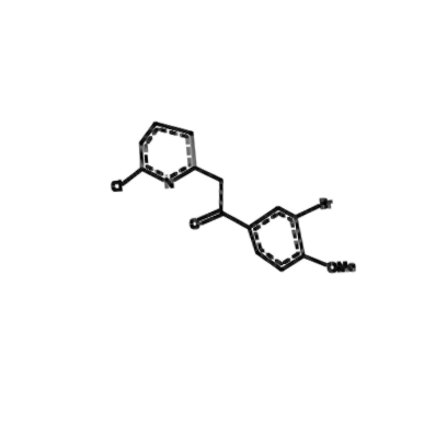 COc1ccc(C(=O)Cc2cccc(Cl)n2)cc1Br